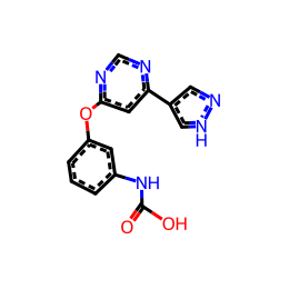 O=C(O)Nc1cccc(Oc2cc(-c3cn[nH]c3)ncn2)c1